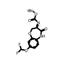 CC(C)(C)OC(=O)/N=C1\COc2cc(OC(F)F)ccc2NC1=O